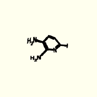 Nc1ccc(I)nc1N